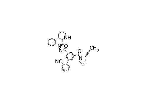 CC#C[C@H]1CCCN1C(=O)c1cc(-c2nnc([C@H]3NCCC[C@H]3c3ccccc3)o2)cc(-c2ccccc2C#N)c1